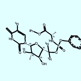 [2H]C1=CN([C@@H]2O[C@H](C([2H])([2H])OP(=O)(N[C@@H](C)C(=O)OC(C)C)Oc3ccccc3)[C@@H](O)[C@@]2(C)O)C(=O)NC1=C